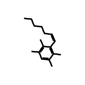 CCCCC/C=[C]\c1c(C)c(C)cc(C)c1C